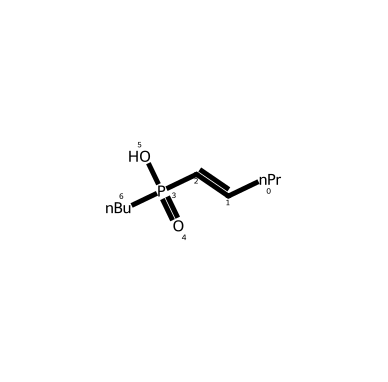 CCCC=CP(=O)(O)CCCC